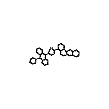 c1ccc(-c2c3ccccc3c(-c3ccc(-c4cccc5c4ccc4cc6ccccc6cc45)nc3)c3ccccc23)cc1